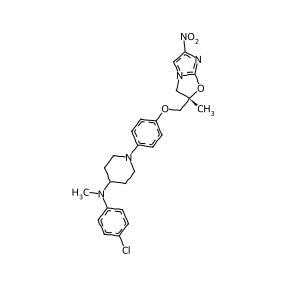 CN(c1ccc(Cl)cc1)C1CCN(c2ccc(OC[C@]3(C)Cn4cc([N+](=O)[O-])nc4O3)cc2)CC1